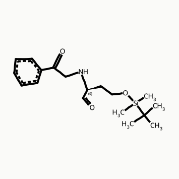 CC(C)(C)[Si](C)(C)OCC[C@@H](C=O)NCC(=O)c1ccccc1